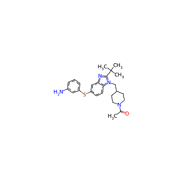 CC(=O)N1CCC(Cn2c(C(C)(C)C)nc3cc(Sc4cccc(N)c4)ccc32)CC1